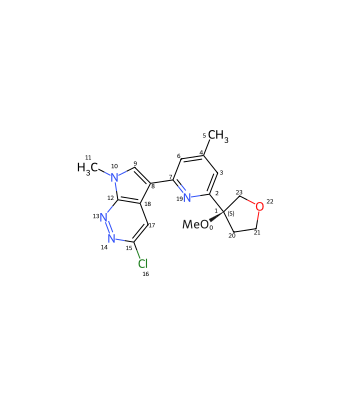 CO[C@]1(c2cc(C)cc(-c3cn(C)c4nnc(Cl)cc34)n2)CCOC1